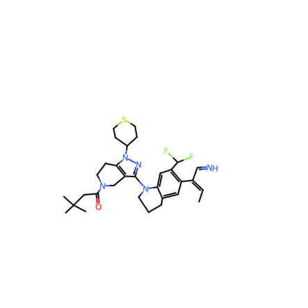 C/C=C(/C=N)c1cc2c(cc1C(F)F)N(c1nn(C3CCSCC3)c3c1CN(C(=O)CC(C)(C)C)CC3)CCC2